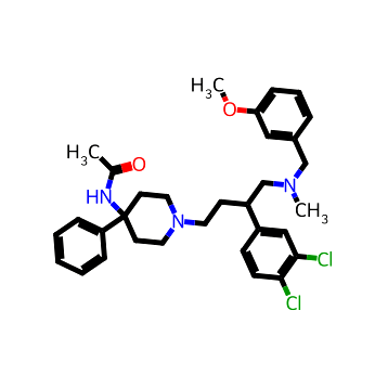 COc1cccc(CN(C)CC(CCN2CCC(NC(C)=O)(c3ccccc3)CC2)c2ccc(Cl)c(Cl)c2)c1